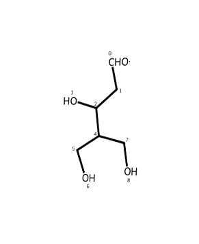 O=[C]CC(O)C(CO)CO